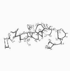 CC(C)[C@@H](OC(=O)N1CCC1)C1C[C@@H](C)[C@H]2C(O1)[C@H](O)[C@@]1(C)C3CC[C@H]4C(C)(C)[C@@H](O[C@H]5CN(CC6CNC6)CCO5)CC[C@@]45C[C@@]35CC[C@]21C